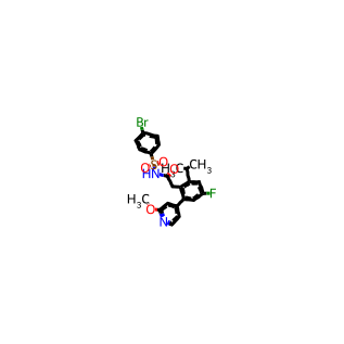 COc1cc(-c2cc(F)cc(C(C)C)c2CC(=O)NS(=O)(=O)c2ccc(Br)cc2)ccn1